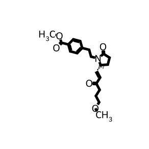 COCCCC(=O)C=C[C@H]1CCC(=O)N1CCc1ccc(C(=O)OC)cc1